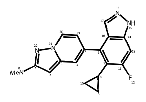 CNc1cc2cc(-c3c(C4CC4)c(F)cc4[nH]ncc34)ccn2n1